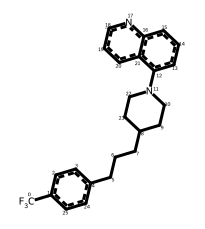 FC(F)(F)c1ccc(CCCC2CCN(c3cccc4n[c]ccc34)CC2)cc1